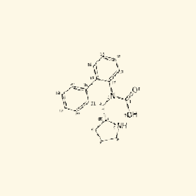 O=C(O)N(C[C@H]1CCCN1)c1ccccc1-c1ccccc1